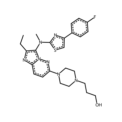 CCc1nc2ccc(N3CCN(CCCO)CC3)nn2c1N(C)c1nc(-c2ccc(F)cc2)cs1